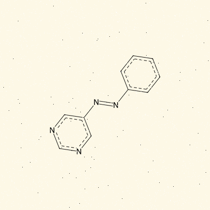 c1ccc(N=Nc2cncnc2)cc1